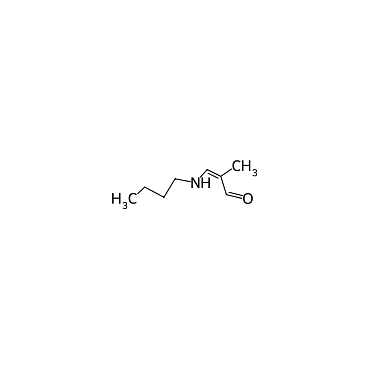 CCCCNC=C(C)C=O